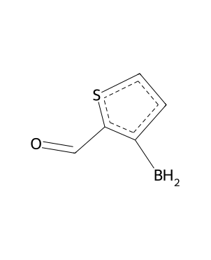 Bc1ccsc1C=O